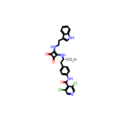 O=C(Nc1ccc(C[C@H](Nc2c(NCCc3c[nH]c4ccccc34)c(=O)c2=O)C(=O)O)cc1)c1c(Cl)cncc1Cl